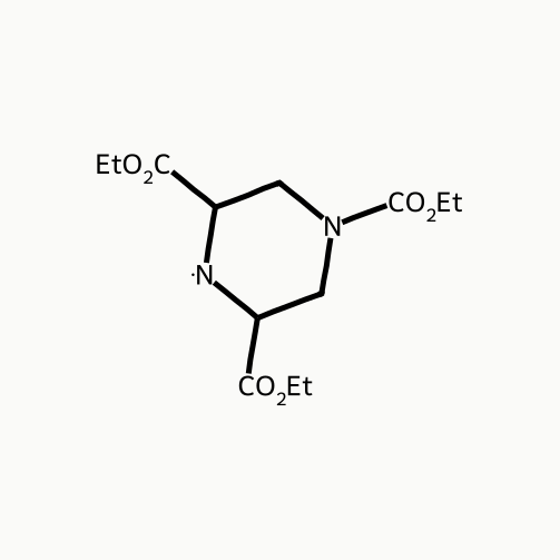 CCOC(=O)C1CN(C(=O)OCC)CC(C(=O)OCC)[N]1